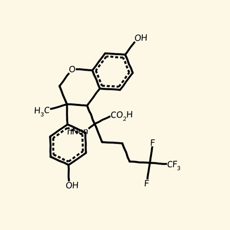 CCCCCCCCCC(CCCC(F)(F)C(F)(F)F)(C(=O)O)C1c2ccc(O)cc2OCC1(C)c1ccc(O)cc1